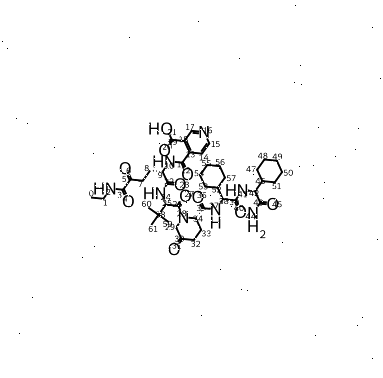 CCNC(=O)C(=O)CC[C@H](NC(=O)c1ccncc1C(=O)O)C(=O)N[C@H](C(=O)N1CC(=O)CC[C@H]1C(=O)N[C@H](C(=O)N[C@H](C(N)=O)C1CCCCC1)C1CCCCC1)C(C)(C)C